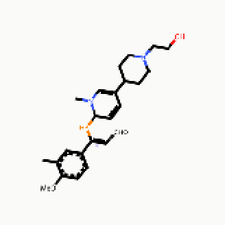 COc1ccc(/C(=C/C=O)PC2C=CC(C3CCN(CCO)CC3)=CN2C)cc1C